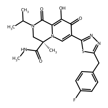 CNC(=O)[C@@]1(C)CN(C(C)C)C(=O)c2c(O)c(=O)c(-c3nnc(Cc4ccc(F)cc4)s3)cn21